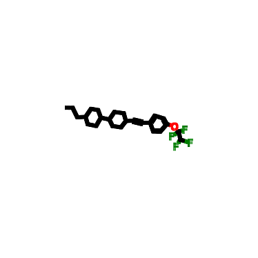 CCCC1CCC(C2CCC(C#Cc3ccc(OC(F)(F)C(F)F)cc3)CC2)CC1